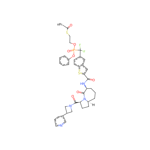 CCCC(=O)SCCOP(=O)(Oc1ccccc1)C(F)(F)c1ccc2sc(C(=O)N[C@H]3CCC[C@H]4CC[C@@H](C(=O)N5CC(c6cccnc6)C5)N4C3=O)cc2c1